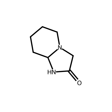 O=C1CN2CCCCC2N1